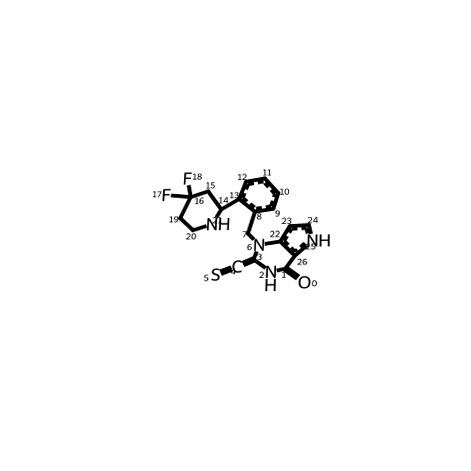 O=C1NC(=C=S)N(Cc2ccccc2C2CC(F)(F)CCN2)c2cc[nH]c21